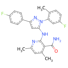 Cc1cc(C)c(C(N)=O)c(Nc2cc(-c3ccc(F)cc3)nn2-c2cc(F)ccc2C)n1